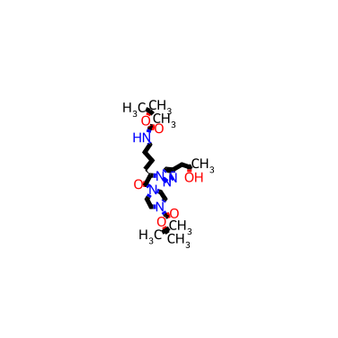 CC(O)Cc1cn([C@@H](CCCCNC(=O)OC(C)(C)C)C(=O)N2CCN(C(=O)OC(C)(C)C)CC2)nn1